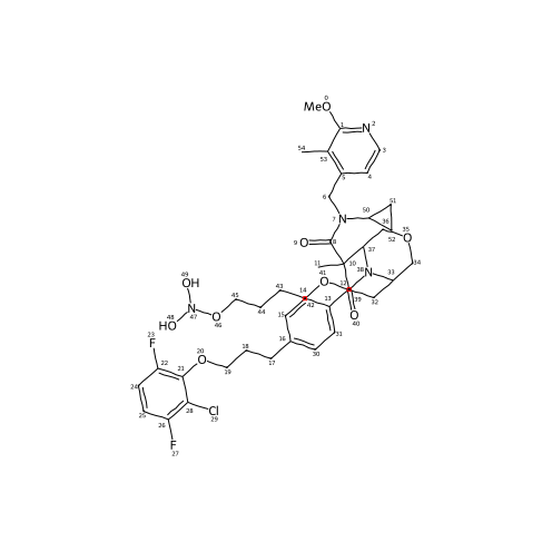 COc1nccc(CN(C(=O)C2(C)C(c3ccc(CCCOc4c(F)ccc(F)c4Cl)cc3)CC3COCC2N3C(=O)OCCCCON(O)O)C2CC2)c1C